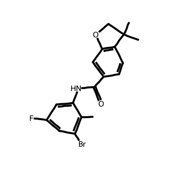 Cc1c(Br)cc(F)cc1NC(=O)c1ccc2c(c1)OCC2(C)C